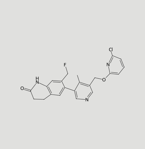 Cc1c(COc2cccc(Cl)n2)cncc1-c1cc2c(cc1CF)NC(=O)CC2